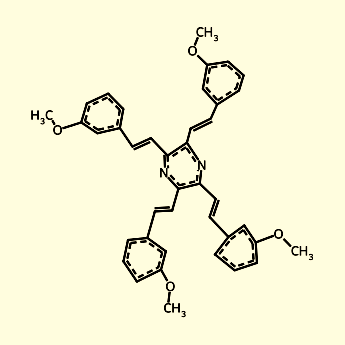 COc1cccc(C=Cc2nc(C=Cc3cccc(OC)c3)c(C=Cc3cccc(OC)c3)nc2C=Cc2cccc(OC)c2)c1